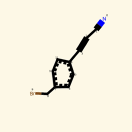 N#CC#Cc1ccc(CBr)cc1